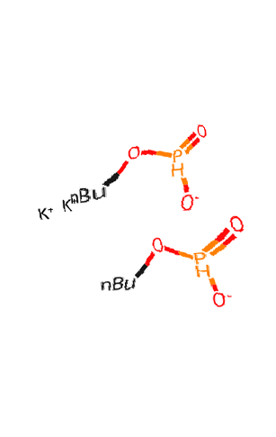 CCCCO[PH](=O)[O-].CCCCO[PH](=O)[O-].[K+].[K+]